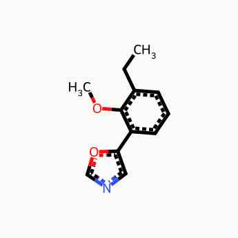 CCc1cccc(-c2cnco2)c1OC